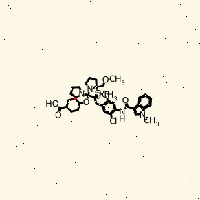 COC[C@]1(OC)CCCN1C(OC1CCC(C(=O)O)CC1)(C(=O)Cc1cc(Cl)c(NC(=O)c2cn(C)c3ccccc23)cc1F)N1CCCC1